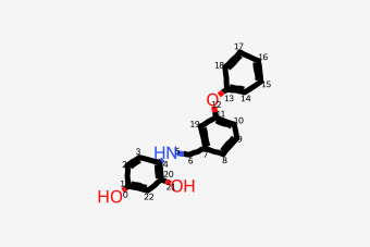 Oc1ccc(NCc2cccc(Oc3ccccc3)c2)c(O)c1